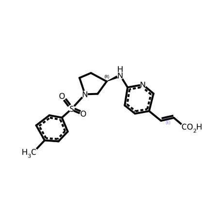 Cc1ccc(S(=O)(=O)N2CC[C@@H](Nc3ccc(/C=C/C(=O)O)cn3)C2)cc1